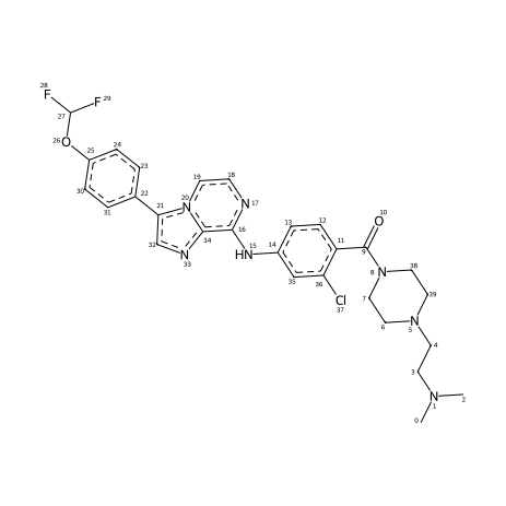 CN(C)CCN1CCN(C(=O)c2ccc(Nc3nccn4c(-c5ccc(OC(F)F)cc5)cnc34)cc2Cl)CC1